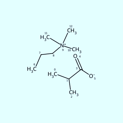 CC(C)C(=O)[O-].CCC[N+](C)(C)C